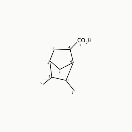 CC1C2CC(C(=O)O)C(C2)C1C